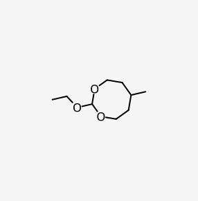 CCOC1OCCC(C)CCO1